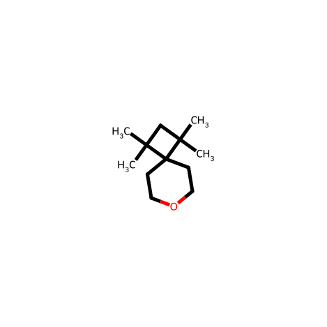 CC1(C)CC(C)(C)C12CCOCC2